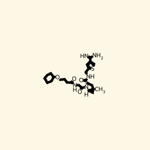 C[C@@]12C[C@@H]1N(C(=O)CNC(=O)CCCOC1CCCCC1)[C@H](C(=O)NCc1cc(C(=N)N)cs1)C2